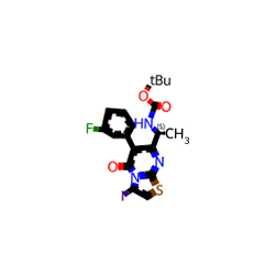 C[C@H](NC(=O)OC(C)(C)C)c1nc2scc(I)n2c(=O)c1-c1cccc(F)c1